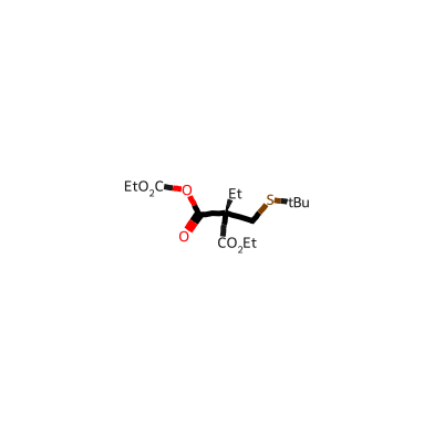 CCOC(=O)OC(=O)[C@](CC)(CSC(C)(C)C)C(=O)OCC